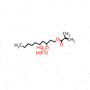 C=C(C)C(=O)OCCC(CCCCCCC)OP(=O)(O)O